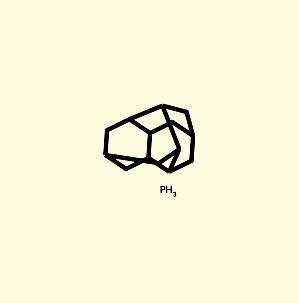 C1C2CC3C4CC5CC(C14)C(C2)C3C5.P